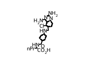 CCCC(NC(=O)c1ccc(NCc2ccc3nc(N)nc(N)c3c2Cl)cc1)C(=O)O